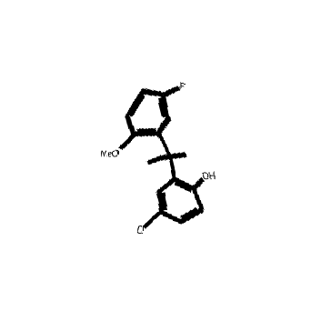 COc1ccc(F)cc1C(C)(C)c1cc(Cl)ccc1O